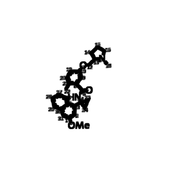 COc1cc(C2(NC(=O)c3cc(OCC4CCCN4C)ccc3C)CC2)c2ccccc2c1